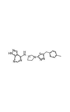 Cc1ccc(Cc2nnc(N3CC[C@H](Nc4ncnc5[nH]ncc45)C3)s2)cc1